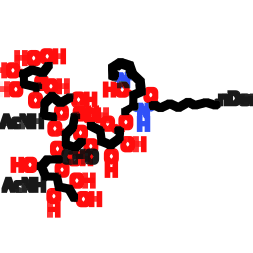 CCCCCCCCCCCCCCCCCC(=O)N[C@@H](CO[C@@H]1OC(CO)[C@@H](O[C@@H]2OC(CO)[C@H](O[C@@H]3OC(CO)[C@H](O)C(O[C@@H]4OC(CO)[C@H](O)C(O)C4O)C3NC(C)=O)C(O[C@]3(C=O)CC(O)[C@@H](NC(C)=O)C([C@H](O)[C@H](O)CO)O3)C2O)C(O)C1O)[C@H](O)/C=C\c1ccccn1